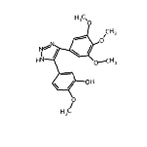 COc1ccc(-c2[nH]nnc2-c2cc(OC)c(OC)c(OC)c2)cc1O